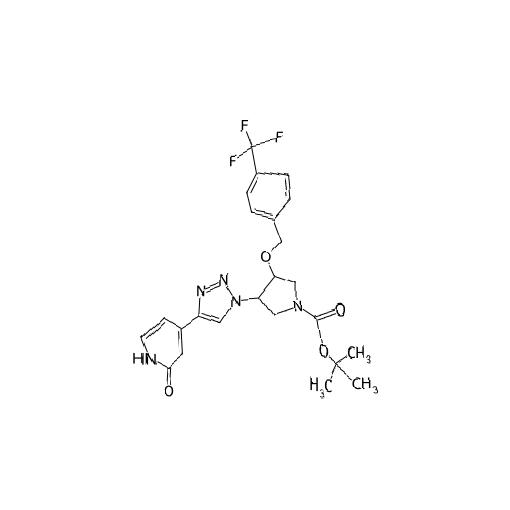 CC(C)(C)OC(=O)N1CC(OCc2ccc(C(F)(F)F)cc2)C(n2cc(-c3cc[nH]c(=O)c3)nn2)C1